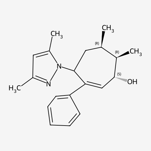 Cc1cc(C)n(C2C[C@@H](C)[C@@H](C)[C@H](O)C=C2c2ccccc2)n1